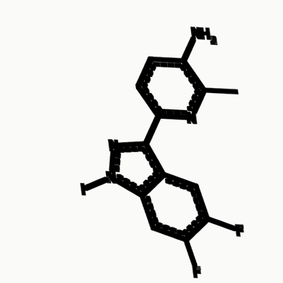 Cc1nc(-c2nn(I)c3cc(F)c(F)cc23)ccc1N